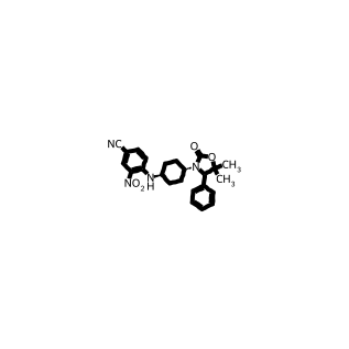 CC1(C)OC(=O)N([C@H]2CC[C@H](Nc3ccc(C#N)cc3[N+](=O)[O-])CC2)C1c1ccccc1